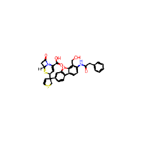 O=C(Cc1ccccc1)Nc1ccc2c(oc3cc(C4(C5C=C(C(=O)O)N6C(=O)C[C@H]6S5)C=CSC4)ccc32)c1CO